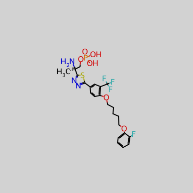 C[C@](N)(COP(=O)(O)O)c1nnc(-c2ccc(OCCCCCOc3ccccc3F)c(C(F)(F)F)c2)s1